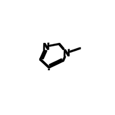 CN1C=[C]C=NC1